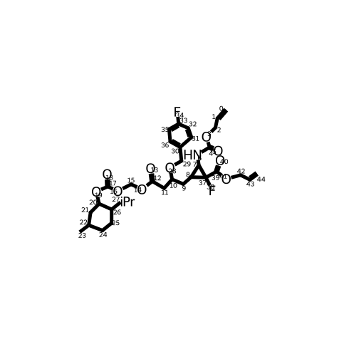 C=CCOC(=O)NC1C(CC(CC(=O)OCOC(=O)OC2CC(C)CCC2C(C)C)OCc2ccc(F)cc2)C1(F)C(=O)OCC=C